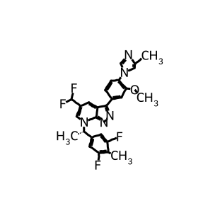 COc1cc(-c2nnc3n([C@@H](C)c4cc(F)c(C)c(F)c4)cc(C(F)F)cc2-3)ccc1-n1cnc(C)c1